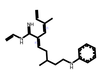 C=CNC(=N)C(/C=C(/C)C=C)=C/CC(C)CCNc1ccccc1